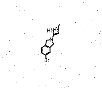 Cn1cc(N2Cc3ccc(Br)cc3C2)[nH]1